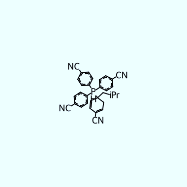 CC(C)CC1([PH](c2ccc(C#N)cc2)(c2ccc(C#N)cc2)c2ccc(C#N)cc2)C=CC(C#N)=CC1